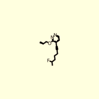 C=CCOc1nnccc1C#CCCCC(C)F